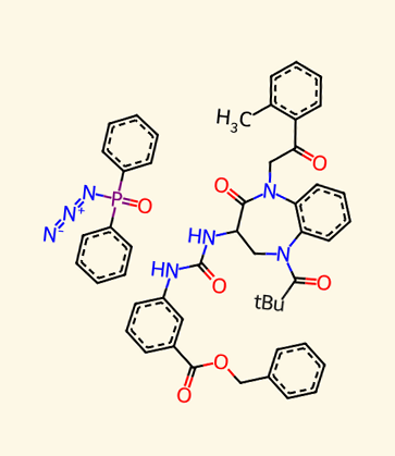 Cc1ccccc1C(=O)CN1C(=O)C(NC(=O)Nc2cccc(C(=O)OCc3ccccc3)c2)CN(C(=O)C(C)(C)C)c2ccccc21.[N-]=[N+]=NP(=O)(c1ccccc1)c1ccccc1